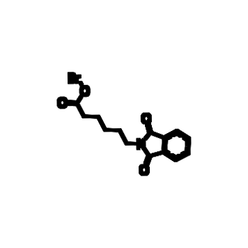 O=C(CCCCCN1C(=O)c2ccccc2C1=O)OBr